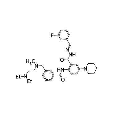 CCN(CC)CCN(C)Cc1cccc(C(=O)Nc2ccc(N3CCCCC3)cc2C(=O)N/N=C/c2cccc(F)c2)c1